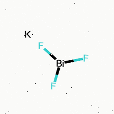 [F][Bi]([F])[F].[K]